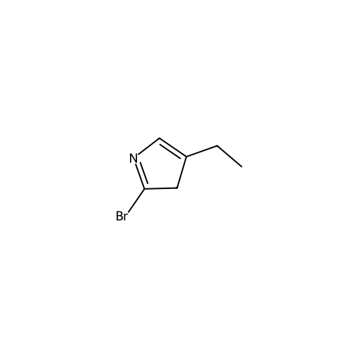 CCC1=CN=C(Br)C1